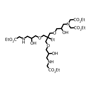 CCOC(=O)CNCC(O)COCC(CC)(COCC(O)CNCC(=O)OCC)COCC(O)CN(CC(=O)OCC)CC(=O)OCC